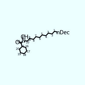 CCCCCCCCCCCCCCCCCCCCN(C)C(=O)C1CCCCC1